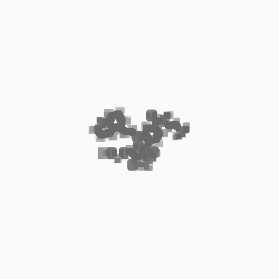 CN(C)CCN(C)C(=O)c1ccc(S(=O)(=O)N[C@H](C=O)CC(=O)O)c(OCCc2cccc3ncccc23)c1